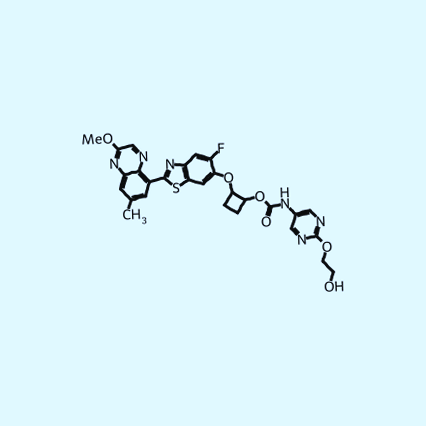 COc1cnc2c(-c3nc4cc(F)c(OC5CCC5OC(=O)Nc5cnc(OCCO)nc5)cc4s3)cc(C)cc2n1